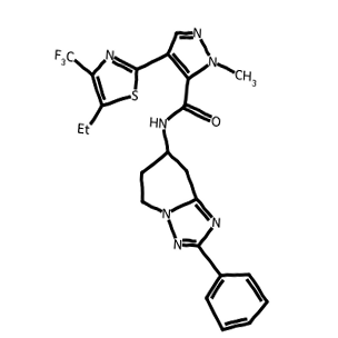 CCc1sc(-c2cnn(C)c2C(=O)NC2CCn3nc(-c4ccccc4)nc3C2)nc1C(F)(F)F